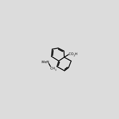 CNC.O=C(O)C12C=CC=CC1=CC=CC2